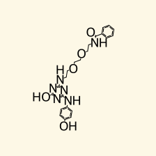 O=C(NCCOCCOCCNc1nc(O)nc(Nc2ccc(O)cc2)n1)c1ccccc1